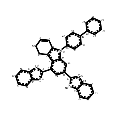 C1=Cc2c(c3c(-c4nc5ccccc5s4)cc(-c4nc5ccccc5s4)cc3n2-c2ccc(-c3ccccc3)cc2)CC1